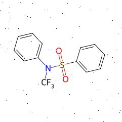 O=S(=O)(c1cc[c]cc1)N(c1ccccc1)C(F)(F)F